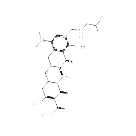 CN(C)c1cc(CNCC(F)F)c(O)c2c1CC1CC3CC(O)=C(C(N)=O)C(=O)C3C(O)=C1C2=O